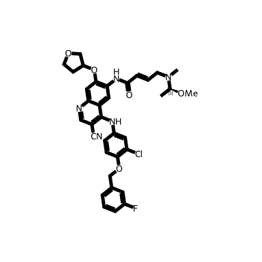 CO[C@@H](C)N(C)CC=CC(=O)Nc1cc2c(Nc3ccc(OCc4cccc(F)c4)c(Cl)c3)c(C#N)cnc2cc1OC1CCOC1